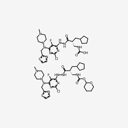 CN1CCN(N(Cc2nccs2)c2nc(Cl)nc(NNC(=O)[C@@H](CNC(=O)O)CC3CCCC3)c2F)CC1.CN1CCN(N(Cc2nccs2)c2nc(Cl)nc(NNC(=O)[C@@H](CNC(=O)OC3CCCCO3)CC3CCCC3)c2F)CC1